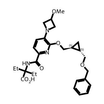 CCC(CC)(NC(=O)c1ccc(N2CC(OC)C2)c(OC[C@H]2C[C@@H]2COCc2ccccc2)n1)C(=O)O